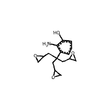 Nc1c(O)cccc1C(CC1CO1)(CC1CO1)CC1CO1